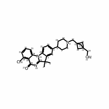 CC1(C)c2cc(C3CCN(CC45CC(CO)(C4)C5)CC3)ccc2-n2c1nc(=O)c1c(Cl)cccc12